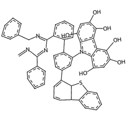 C=N/C(=N\C(=N/Cc1ccccc1)c1ccccc1-c1ccc(C2=CC=CC3c4ccccc4SC23)cc1-n1c2c(O)cc(O)c(O)c2c2c(O)c(O)cc(O)c21)c1ccccc1